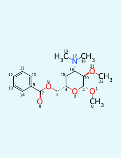 CO[C@@H]1O[C@H](COC(=O)c2ccccc2)C[C@H](N(C)C)[C@H]1OC